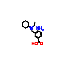 CCN(Cc1cc(C(=O)O)ccc1N)C1CCCCC1